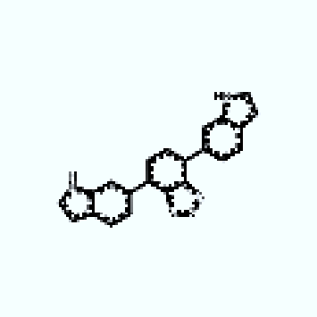 c1cc2ccc(-c3ccc(-c4ccc5cc[nH]c5c4)c4nsnc34)cc2[nH]1